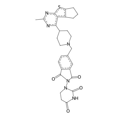 Cc1nc(C2CCN(Cc3ccc4c(c3)C(=O)N(N3CCC(=O)NC3=O)C4=O)CC2)c2c3c(sc2n1)CCC3